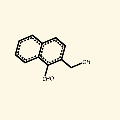 O=Cc1c(CO)ccc2ccccc12